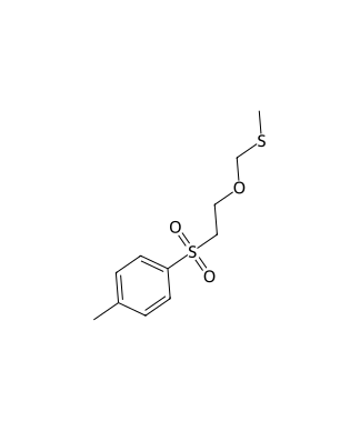 CSCOCCS(=O)(=O)c1ccc(C)cc1